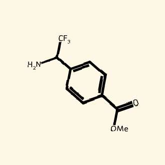 COC(=O)c1ccc(C(N)C(F)(F)F)cc1